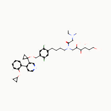 CN(CC(=O)O)CC(=O)N(CCCCc1cc(Cl)c(COC2(c3cnccc3-c3ccccc3OC3CC3)CC2)cc1Cl)CC(O)C(O)[C@H](O)CCO